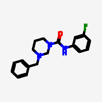 O=C(Nc1cccc(F)c1)N1CCCN(Cc2ccccc2)C1